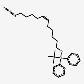 CC(C)(C)[Si](OCCCCC/C=C\CCCCN=[N+]=[N-])(c1ccccc1)c1ccccc1